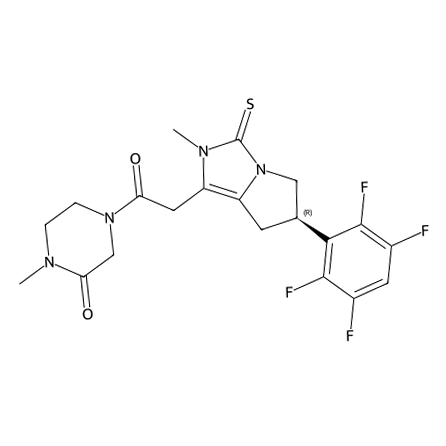 CN1CCN(C(=O)Cc2c3n(c(=S)n2C)C[C@@H](c2c(F)c(F)cc(F)c2F)C3)CC1=O